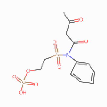 CC(=O)CC(=O)N(c1ccccc1)S(=O)(=O)CCOS(=O)(=O)O